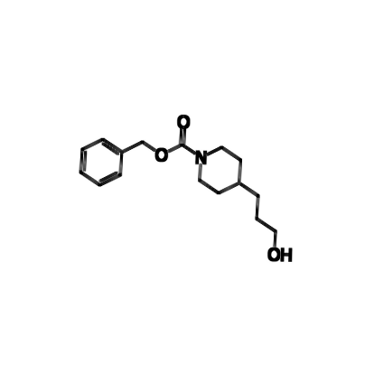 O=C(OCc1ccccc1)N1CCC(CCCO)CC1